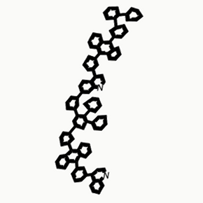 c1ccc(-c2ccccc2-c2cccc(-c3c4ccccc4c(-c4cccc(-c5ccnc6cc(-c7cccc(-c8cc(-c9cccc(-c%10c%11ccccc%11c(-c%11cccc(-c%12ccnc%13ccccc%12%13)c%11)c%11ccccc%10%11)c9)cc(-c9ccccc9)c8-c8ccccc8)c7)ccc56)c4)c4ccccc34)c2)cc1